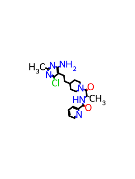 Cc1nc(N)c(CCC2CCN(C(=O)[C@H](C)NC(=O)c3ccccn3)CC2)c(Cl)n1